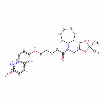 CC1(C)OCC(CN(C(=O)CCCCOc2ccc3[nH]c(=O)ccc3c2)C2CCCCCC2)O1